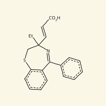 CCC1(C=CC(=O)O)CSc2ccccc2C(c2ccccc2)=N1